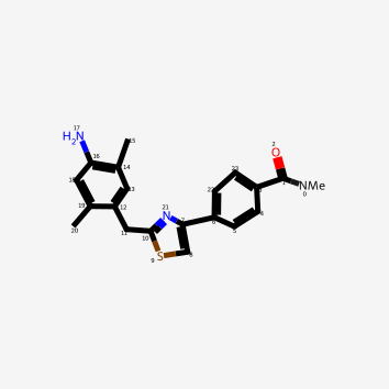 CNC(=O)c1ccc(-c2csc(Cc3cc(C)c(N)cc3C)n2)cc1